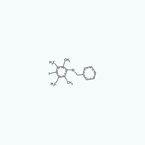 Cc1c(C)c(OCc2ccccc2)c(C)c(C)c1I